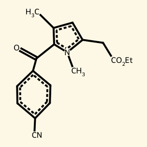 CCOC(=O)Cc1cc(C)c(C(=O)c2ccc(C#N)cc2)n1C